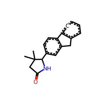 CC1(C)CC(=O)NC1c1ccc2c(c1)Cc1ccccc1-2